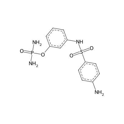 Nc1ccc(S(=O)(=O)Nc2cccc(OP(N)(N)=O)c2)cc1